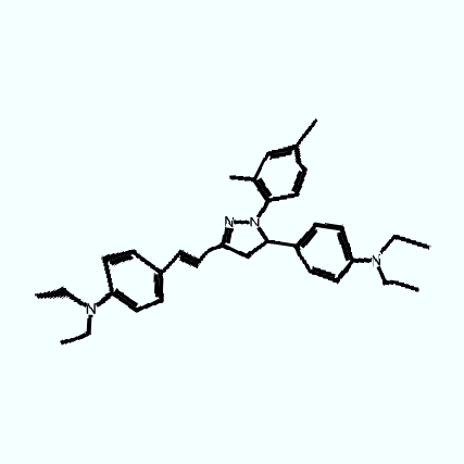 CCN(CC)c1ccc(C=CC2=NN(c3ccc(C)cc3C)C(c3ccc(N(CC)CC)cc3)C2)cc1